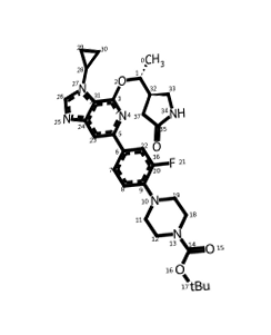 C[C@@H](Oc1nc(-c2ccc(N3CCN(C(=O)OC(C)(C)C)CC3)c(F)c2)cc2ncn(C3CC3)c12)[C@H]1CNC(=O)C1